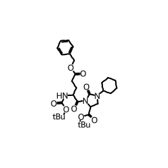 CC(C)(C)OC(=O)NC(CCC(=O)OCc1ccccc1)C(=O)N1C(=O)N(C2CCCCC2)CC1C(=O)OC(C)(C)C